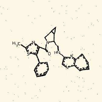 Cc1nc(C(=O)N2CC3CC3C2CNc2cnc3ccccc3n2)c(-c2ccccc2)s1